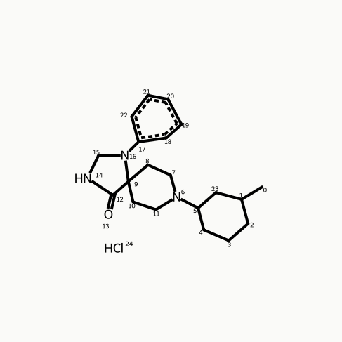 CC1CCCC(N2CCC3(CC2)C(=O)NCN3c2ccccc2)C1.Cl